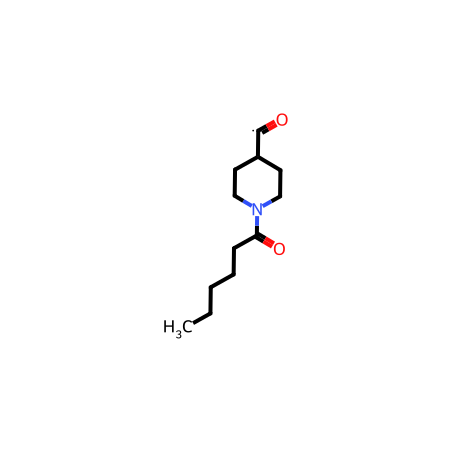 CCCCCC(=O)N1CCC([C]=O)CC1